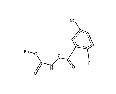 CC(C)(C)OC(=O)NNC(=O)c1cc(C#N)ccc1F